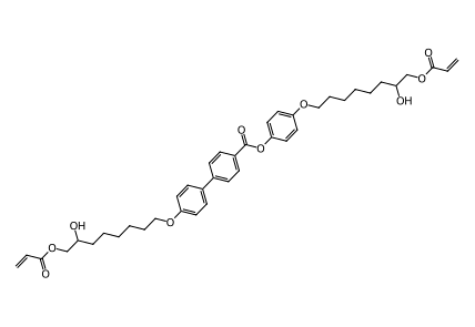 C=CC(=O)OCC(O)CCCCCCOc1ccc(OC(=O)c2ccc(-c3ccc(OCCCCCCC(O)COC(=O)C=C)cc3)cc2)cc1